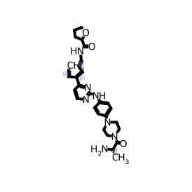 C\C=C/C(=C\C=C\NC(=O)C1CCCO1)c1ccnc(Nc2ccc(N3CCN(C(=O)[C@H](C)N)CC3)cc2)n1